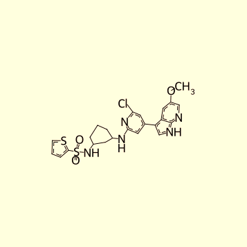 COc1cnc2[nH]cc(-c3cc(Cl)nc(NC4CCCC(NS(=O)(=O)c5cccs5)C4)c3)c2c1